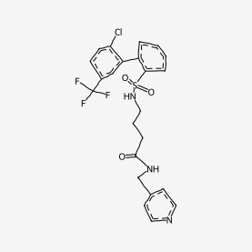 O=C(CCCNS(=O)(=O)c1ccccc1-c1cc(C(F)(F)F)ccc1Cl)NCc1ccncc1